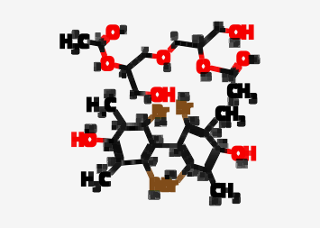 CC(=O)OC(CO)COCC(CO)OC(C)=O.Cc1c(O)c(C)c(Br)c(-c2c(Br)c(C)c(O)c(C)c2Br)c1Br